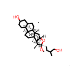 CO[C@]1(CCC(C)CO)O[C@H]2C[C@H]3[C@@H]4CCC5CC(O)CC[C@]5(C)[C@H]4CC[C@]3(C)[C@H]2[C@@H]1C